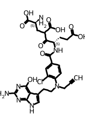 C#CCN(CCc1c[nH]c2nc(N)nc(O)c12)c1ccc(C(=O)N[C@@H](CCC(=O)O)C(=O)C(C[C@H](N)C(=O)O)C(=O)O)cc1Cl